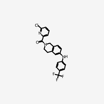 O=C(c1cccc(Cl)n1)N1CCc2cc(Nc3ccc(C(F)(F)F)cc3)ccc2C1